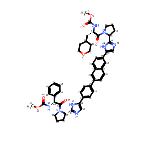 COC(=O)N[C@@H](CC1CCOCC1)C(=O)N1CCC[C@H]1c1ncc(-c2ccc3cc(-c4ccc(-c5cnc([C@@H]6CCCN6C(=O)[C@H](NC(=O)OC)c6ccccc6)[nH]5)cc4)ccc3c2)[nH]1